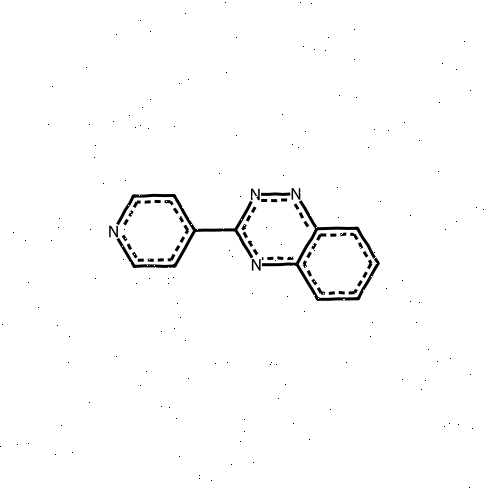 c1ccc2nc(-c3ccncc3)nnc2c1